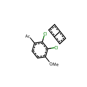 COc1ccc(C(C)=O)c(Cl)c1Cl.c1cc2ccc1-2